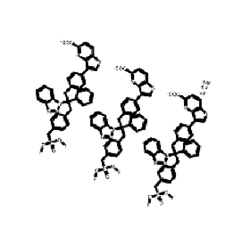 O=C([O-])c1ccc2scc(-c3ccc(CC(Cc4ccc(CP(=O)(OF)OF)cc4)(c4ccccc4)n4nnc5ccccc54)cc3)c2n1.O=C([O-])c1ccc2scc(-c3ccc(CC(Cc4ccc(CP(=O)(OF)OF)cc4)(c4ccccc4)n4nnc5ccccc54)cc3)c2n1.O=C([O-])c1ccc2scc(-c3ccc(CC(Cc4ccc(CP(=O)(OF)OF)cc4)(c4ccccc4)n4nnc5ccccc54)cc3)c2n1.[Na+].[Na+].[Na+]